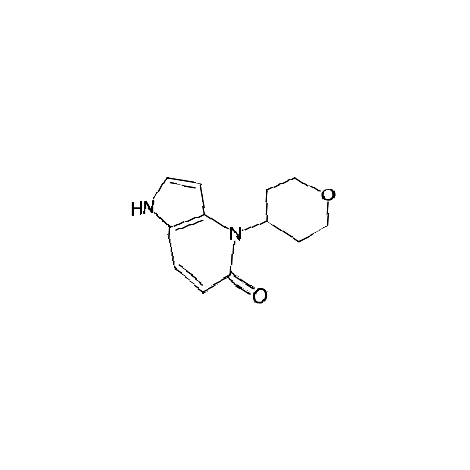 O=c1ccc2[nH]ccc2n1C1CCOCC1